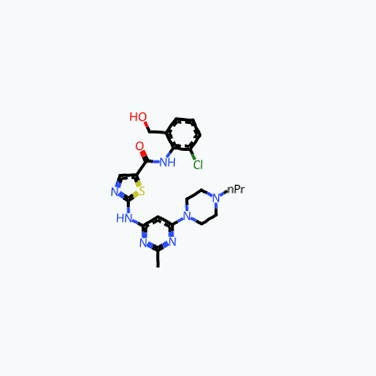 CCCN1CCN(c2cc(Nc3ncc(C(=O)Nc4c(Cl)cccc4CO)s3)nc(C)n2)CC1